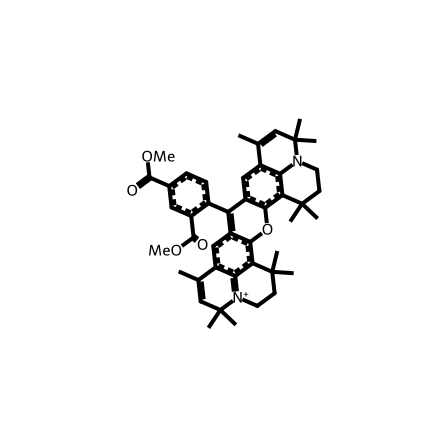 COC(=O)c1ccc(C2=c3cc4c5c(c3Oc3c2cc2c6c3C(C)(C)CCN6C(C)(C)C=C2C)C(C)(C)CC[N+]=5C(C)(C)C=C4C)c(C(=O)OC)c1